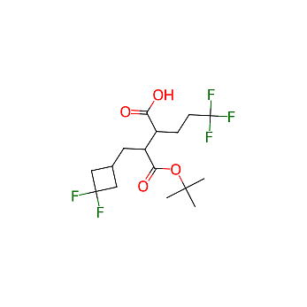 CC(C)(C)OC(=O)C(CC1CC(F)(F)C1)C(CCC(F)(F)F)C(=O)O